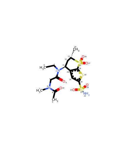 CCN(C(=O)CN(C)C(C)=O)[C@H]1C[C@H](C)S(=O)(=O)c2sc(S(N)(=O)=O)cc21